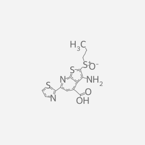 CCC[S+]([O-])c1sc2nc(-c3nccs3)cc(C(=O)O)c2c1N